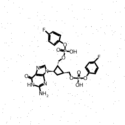 Nc1nc2c(ncn2[C@@H]2C[C@H](COP(=O)(O)Oc3ccc(F)cc3)[C@H]2COP(=O)(O)Oc2ccc(F)cc2)c(=O)[nH]1